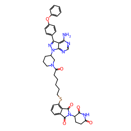 Nc1ncnc2c1c(-c1ccc(Oc3ccccc3)cc1)nn2C1CCCN(C(=O)CCCCCSc2cccc3c2C(=O)N(C2CCC(=O)NC2=O)C3=O)C1